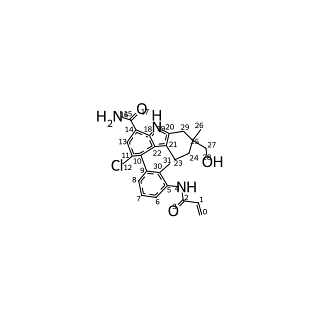 C=CC(=O)Nc1cccc(-c2c(Cl)cc(C(N)=O)c3[nH]c4c(c23)CCC(C)(CO)C4)c1C